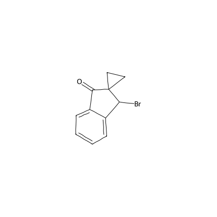 O=C1c2ccccc2C(Br)C12CC2